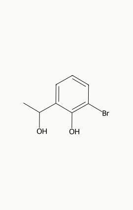 CC(O)c1cccc(Br)c1O